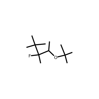 CC(OC(C)(C)C)C(C)(F)C(C)(C)C